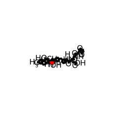 C[C@]12C=CC(=O)C=C1CC[C@@H]1[C@@H]2[C@@H](O)C[C@@]2(C)[C@H]1C[C@H]1CN(c3ccc(Cc4cccc(NC(=O)[C@H](CCC(=O)O)NC(=O)CNC(=O)CCN5C(=O)C=CC5=O)c4)cc3)C[C@]12C(=O)CO